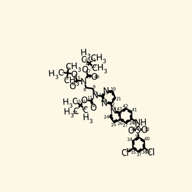 CC(C)(C)OC(=O)N(CCN(C(=O)OC(C)(C)C)c1nccc(-n2ccc3cc(NS(=O)(=O)c4cc(Cl)cc(Cl)c4)ccc32)n1)C(=O)OC(C)(C)C